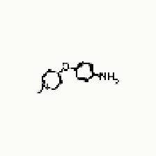 CN1CCC(Oc2ccc(N)cc2)CC1